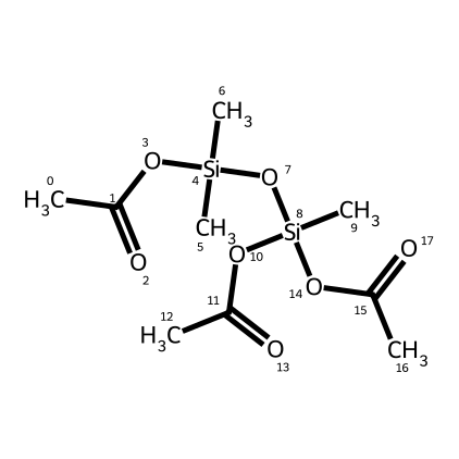 CC(=O)O[Si](C)(C)O[Si](C)(OC(C)=O)OC(C)=O